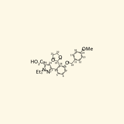 CCn1nc(-c2cccc(OCc3ccc(OC)cc3)c2C2OCCO2)cc1C(=O)O